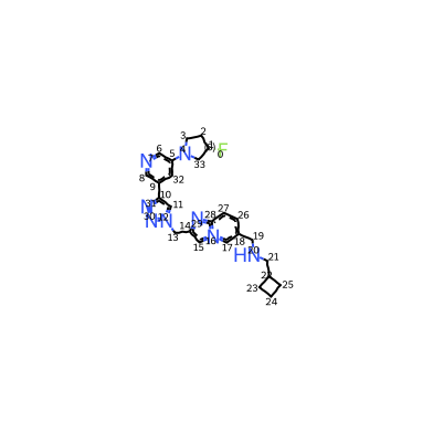 F[C@H]1CCN(c2cncc(-c3cn(Cc4cn5cc(CNCC6CCC6)ccc5n4)nn3)c2)C1